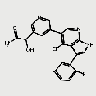 NC(=O)C(O)c1cncc(-c2cnc3[nH]cc(-c4ccccc4F)c3c2Cl)c1